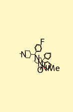 CNC(=O)N1CCN(C(c2ccc(F)cc2)C2CCN(C)CC2)CC1(c1ccccc1)c1ccccc1